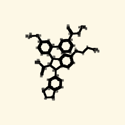 CCCOc1ccc2c(c1)C(c1ccc(OC)cc1-c1cccc(C(=O)OC)c1)C(C(=O)O)C2c1ccc2c(c1)OCO2